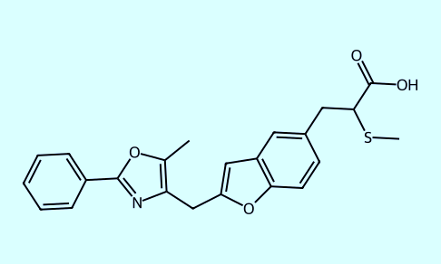 CSC(Cc1ccc2oc(Cc3nc(-c4ccccc4)oc3C)cc2c1)C(=O)O